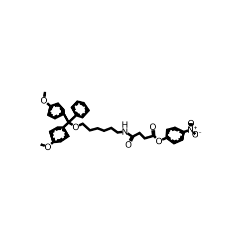 COc1ccc(C(OCCCCCCNC(=O)CCC(=O)Oc2ccc([N+](=O)[O-])cc2)(c2ccccc2)c2ccc(OC)cc2)cc1